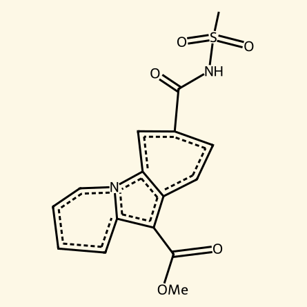 COC(=O)c1c2ccc(C(=O)NS(C)(=O)=O)cc2n2ccccc12